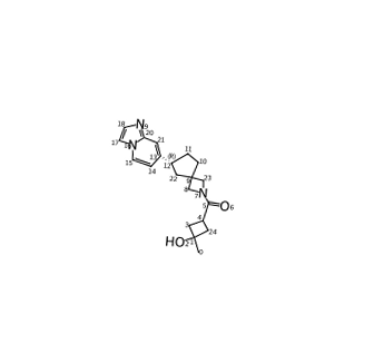 CC1(O)CC(C(=O)N2CC3(CC[C@@H](c4ccn5ccnc5c4)C3)C2)C1